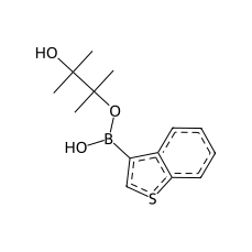 CC(C)(O)C(C)(C)OB(O)c1csc2ccccc12